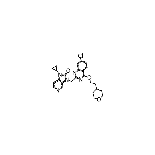 O=c1n(Cc2nc(OCCC3CCOCC3)c3ccc(Cl)cc3n2)c2cnccc2n1C1CC1